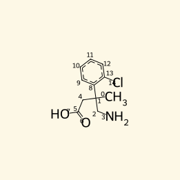 CC(CN)(CC(=O)O)c1ccccc1Cl